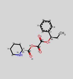 CC[C@@H](OC(=O)C(=O)OC(=O)[C@H]1CCCCN1)c1ccccc1